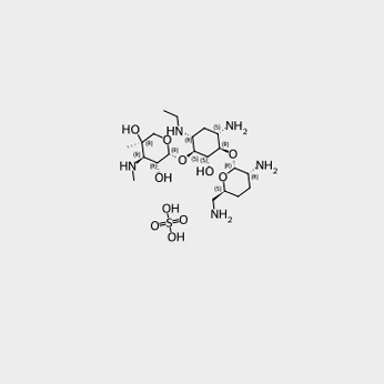 CCN[C@@H]1C[C@H](N)[C@@H](O[C@H]2O[C@H](CN)CC[C@H]2N)[C@H](O)[C@H]1O[C@H]1OC[C@](C)(O)[C@H](NC)[C@H]1O.O=S(=O)(O)O